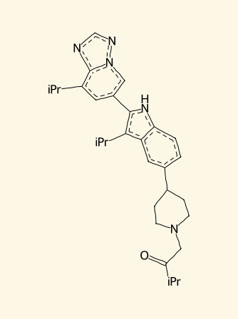 CC(C)C(=O)CN1CCC(c2ccc3[nH]c(-c4cc(C(C)C)c5ncnn5c4)c(C(C)C)c3c2)CC1